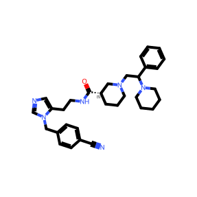 N#Cc1ccc(Cn2cncc2CCNC(=O)[C@H]2CCCN(CC(c3ccccc3)N3CCCCC3)C2)cc1